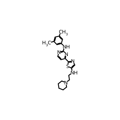 Cc1cc(C)cc(Nc2nccc(-c3ncc(NCCN4CCCCC4)s3)n2)c1